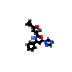 O=C(NC(CCn1cncn1)c1ccccc1)c1cc(C2CC2)on1